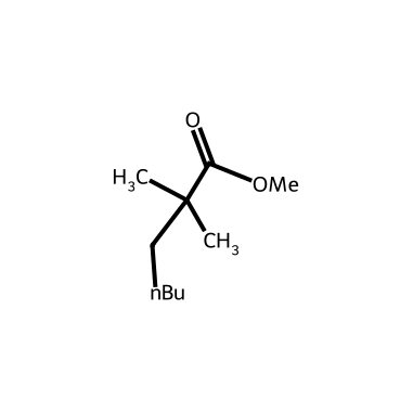 CCCCCC(C)(C)C(=O)OC